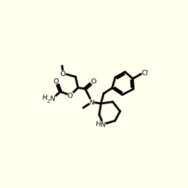 COCC(OC(N)=O)C(=O)N(C)C1(Cc2ccc(Cl)cc2)CCCNC1